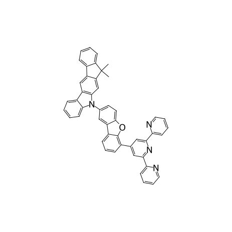 CC1(C)c2ccccc2-c2cc3c4ccccc4n(-c4ccc5oc6c(-c7cc(-c8ccccn8)nc(-c8ccccn8)c7)cccc6c5c4)c3cc21